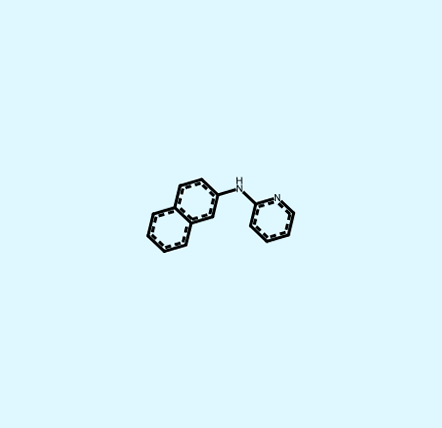 c1ccc(Nc2ccc3ccccc3c2)nc1